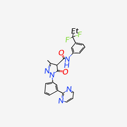 CCC(F)(F)c1cccc(NC(=O)C2C(=O)N(c3cccc(-c4ncccn4)c3)N=C2C)c1